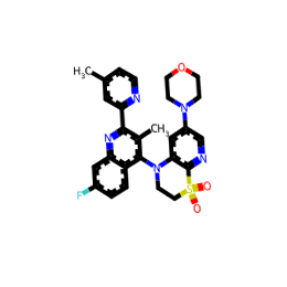 Cc1ccnc(-c2nc3cc(F)ccc3c(N3CCS(=O)(=O)c4ncc(N5CCOCC5)cc43)c2C)c1